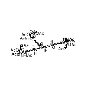 CC(=O)NC1C(OC(C)=O)[C@@H](OC(C)=O)C(COC(C)=O)O[C@H]1OCCCCC(=O)NCCNCCN(CCNC(=O)CCCCO[C@@H]1OC(COC(C)=O)[C@H](OC(C)=O)C(OC(C)=O)C1NC(C)=O)C(=O)CCCCO[C@@H]1OC(COC(C)=O)[C@H](OC(C)=O)C(OC(C)=O)C1NC(C)=O